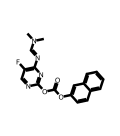 CN(C)/C=N/c1nc(OC(=O)Oc2ccc3ccccc3c2)ncc1F